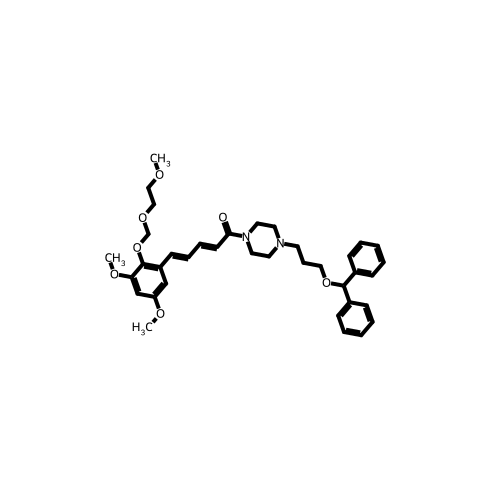 COCCOCOc1c(C=CC=CC(=O)N2CCN(CCCOC(c3ccccc3)c3ccccc3)CC2)cc(OC)cc1OC